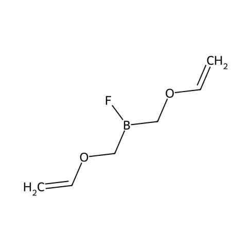 C=COCB(F)COC=C